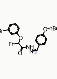 CCCCOc1ccc(/C=N\NC(=O)C(CC)Oc2cccc(Br)c2)cc1